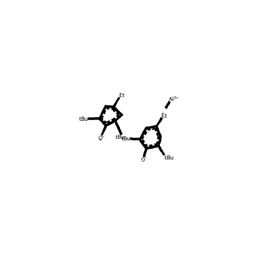 CCc1cc(C(C)(C)C)c([O-])c(C(C)(C)C)c1.CCc1cc(C(C)(C)C)c([O-])c(C(C)(C)C)c1.[CH3][Al+2]